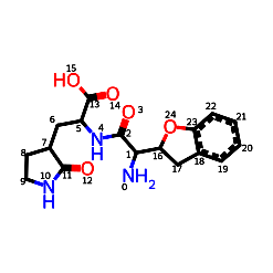 NC(C(=O)NC(CC1CCNC1=O)C(=O)O)C1Cc2ccccc2O1